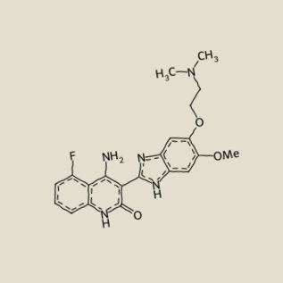 COc1cc2[nH]c(-c3c(N)c4c(F)cccc4[nH]c3=O)nc2cc1OCCN(C)C